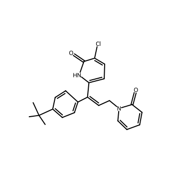 CC(C)(C)c1ccc(C(=CCn2ccccc2=O)c2ccc(Cl)c(=O)[nH]2)cc1